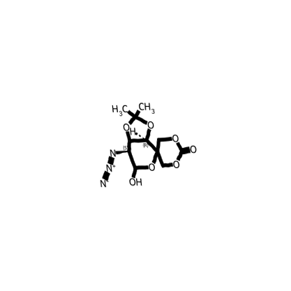 CC1(C)OC2[C@H](N=[N+]=[N-])C(O)OC3(COC(=O)OC3)[C@@H]2O1